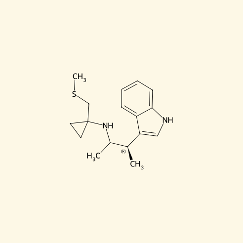 CSCC1(NC(C)[C@H](C)c2c[nH]c3ccccc23)CC1